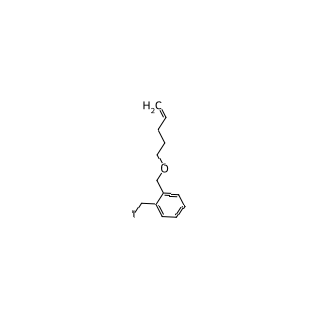 C=CCCCOCc1ccccc1CI